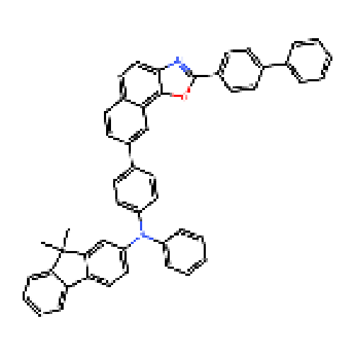 CC1(C)c2ccccc2-c2ccc(N(c3ccccc3)c3ccc(-c4ccc5ccc6nc(-c7ccc(-c8ccccc8)cc7)oc6c5c4)cc3)cc21